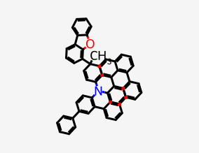 CC1(c2cccc3c2oc2ccccc23)C=CC(N(c2ccc(-c3ccccc3)cc2-c2ccccc2)c2ccccc2-c2cccc3cccc(-c4ccccc4)c23)=CC1